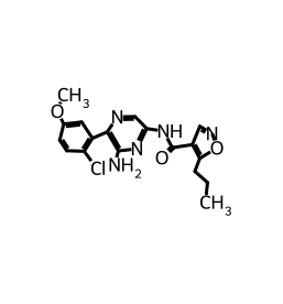 CCCc1oncc1C(=O)Nc1cnc(-c2cc(OC)ccc2Cl)c(N)n1